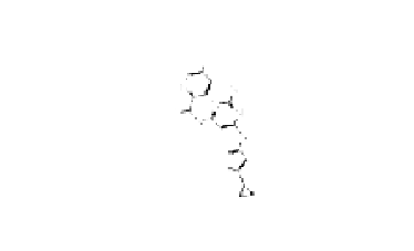 CC(Nc1cc(Nc2cc(C3CC3)[nH]n2)nc(N)n1)c1ccc(F)cn1